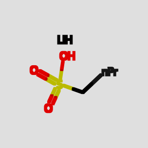 CCCCS(=O)(=O)O.[LiH]